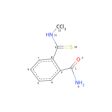 NC(=O)c1ccccc1C(=S)NC(Cl)(Cl)Cl